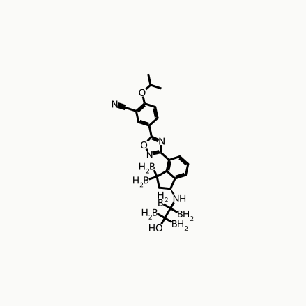 BC1(B)C[C@H](NC(B)(B)C(B)(B)O)c2cccc(-c3noc(-c4ccc(OC(C)C)c(C#N)c4)n3)c21